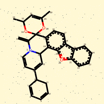 C=C1N2C=CC(C3C=CC=CC3)=CC2c2c(ccc3c2oc2ccccc23)C12OC(C)=CC(C)O2